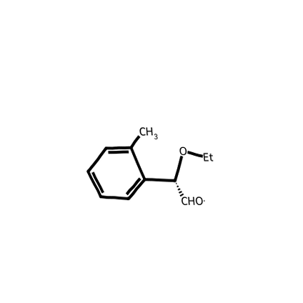 CCO[C@H]([C]=O)c1ccccc1C